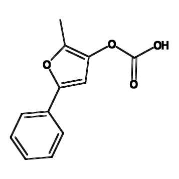 Cc1oc(-c2ccccc2)cc1OC(=O)O